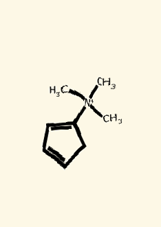 C[N+](C)(C)C1=CC=CC1